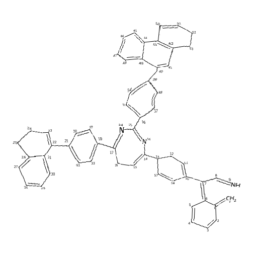 C=c1cccc/c1=C(/C=N)C1=CCC(C2=CCC(c3ccc(C4=CCCc5ccccc54)cc3)=NC(c3ccc(-c4cc5c(c6ccccc46)C=CCC5)cc3)=N2)C=C1